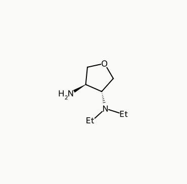 CCN(CC)[C@H]1COC[C@@H]1N